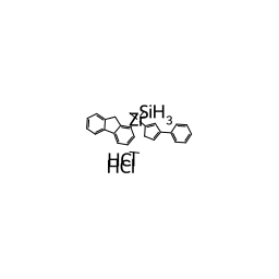 CC.Cl.Cl.[CH3][Zr]([SiH3])([C]1=CC(c2ccccc2)=CC1)[c]1cccc2c1Cc1ccccc1-2